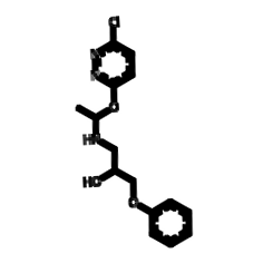 CC(NCC(O)COc1ccccc1)Oc1ccc(Cl)nn1